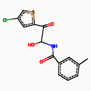 Cc1cccc(C(=O)NC(O)C(=O)c2cc(Cl)cs2)c1